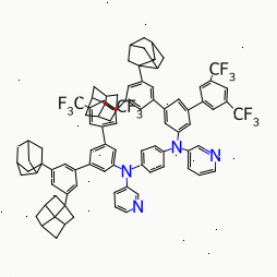 FC(F)(F)c1cc(-c2cc(-c3cc(C45CC6CC(CC4C6)C5)cc(C45CC6CC7CC(C4)C765)c3)cc(N(c3ccc(N(c4cccnc4)c4cc(-c5cc(C(F)(F)F)cc(C(F)(F)F)c5)cc(-c5cc(C67CC8CC(CC6C8)C7)cc(C67CC8CC9CC(C6)C987)c5)c4)cc3)c3cccnc3)c2)cc(C(F)(F)F)c1